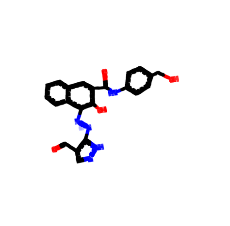 O=Cc1cn[nH]c1/N=N/c1c(O)c(C(=O)Nc2ccc(CO)cc2)cc2ccccc12